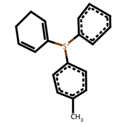 Cc1ccc([S+](C2=CCCC=C2)c2ccccc2)cc1